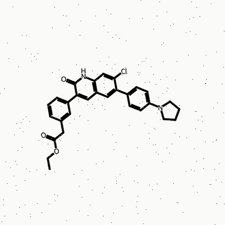 CCOC(=O)Cc1cccc(-c2cc3cc(-c4ccc(N5CCCC5)cc4)c(Cl)cc3[nH]c2=O)c1